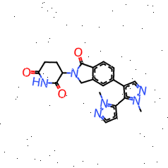 Cn1nccc1-c1c(-c2ccc3c(c2)CN(C2CCC(=O)NC2=O)C3=O)cnn1C